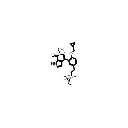 Cn1cc(-c2cc(CCN[SH](=O)=O)ccc2OCC2CC2)c2cc[nH]c2c1=O